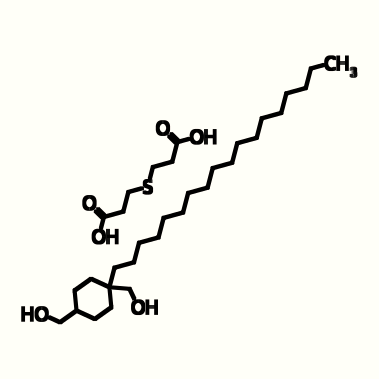 CCCCCCCCCCCCCCCCCCC1(CO)CCC(CO)CC1.O=C(O)CCSCCC(=O)O